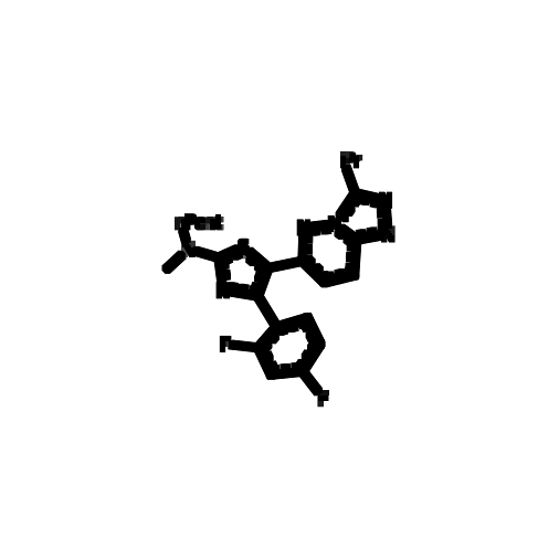 CCCCCN(C)c1nc(-c2ccc(F)cc2F)c(-c2ccc3nnc(C(C)C)n3n2)s1